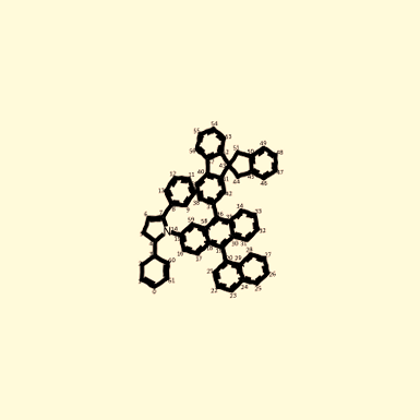 C1=CCC(C2CC=C(c3ccccc3)N2c2ccc3c(-c4cccc5ccccc45)c4ccccc4c(-c4ccc5c(c4)C4(Cc6ccccc6C4)c4ccccc4-5)c3c2)C=C1